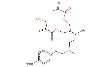 C=C(C)C(=O)OCC(COC(=O)C(=C)CO)C(CCC)CCC(C)CCc1ccc(CCCCC)cc1